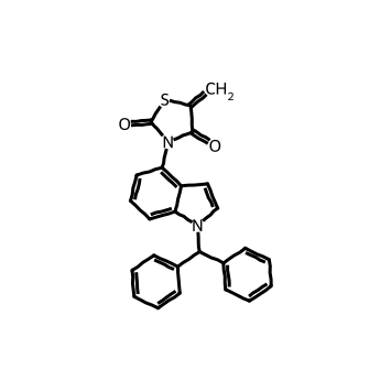 C=C1SC(=O)N(c2cccc3c2ccn3C(c2ccccc2)c2ccccc2)C1=O